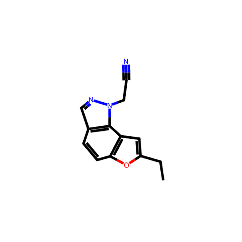 CCc1cc2c(ccc3cnn(CC#N)c32)o1